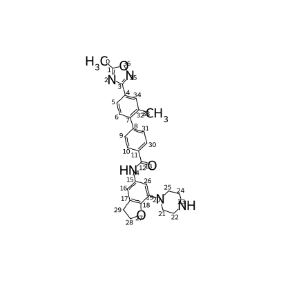 Cc1nc(-c2ccc(-c3ccc(C(=O)Nc4cc5c(c(N6CCNCC6)c4)OCC5)cc3)c(C)c2)no1